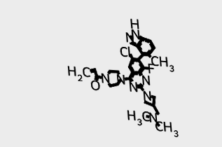 C=CC(=O)N1CCN(c2nc(N3CC(CN(C)C)C3)nc3c(F)c(-c4c(C)ccc5[nH]ncc45)c(Cl)cc23)CC1